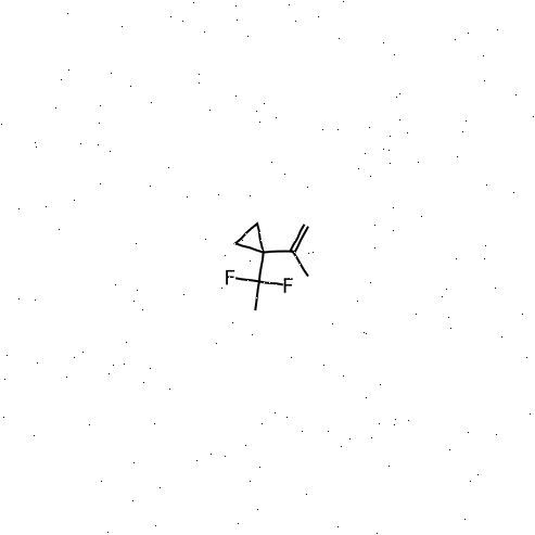 C=C(C)C1(C(C)(F)F)CC1